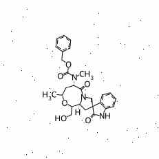 CC1C[C@H](N(C)C(=O)OCc2ccccc2)C(=O)N2C[C@]3(C[C@H]2C(CO)O1)C(=O)Nc1ccccc13